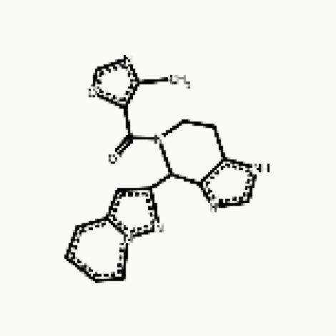 Cc1ncoc1C(=O)N1CCc2[nH]cnc2C1c1cc2ccccn2n1